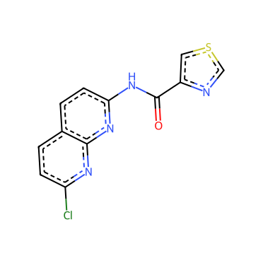 O=C(Nc1ccc2ccc(Cl)nc2n1)c1cscn1